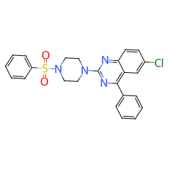 O=S(=O)(c1ccccc1)N1CCN(c2nc(-c3ccccc3)c3cc(Cl)ccc3n2)CC1